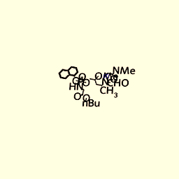 CCCCOC(=O)CNP(=O)(OCC(CC(C)N(C=O)/C=C\C(=O)NC)OC)Oc1cccc2ccccc12